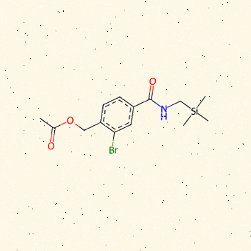 CC(=O)OCc1ccc(C(=O)NC[Si](C)(C)C)cc1Br